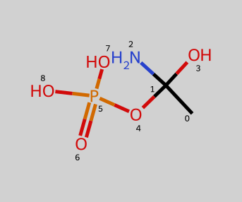 CC(N)(O)OP(=O)(O)O